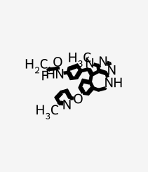 C=C(F)C(=O)Nc1ccc(-c2c3c4c(ncnc4n2C)NCCc2cc(Oc4cccc(C)n4)ccc2-3)cc1